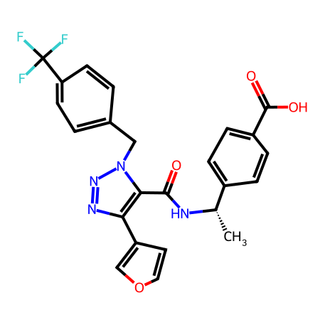 C[C@H](NC(=O)c1c(-c2ccoc2)nnn1Cc1ccc(C(F)(F)F)cc1)c1ccc(C(=O)O)cc1